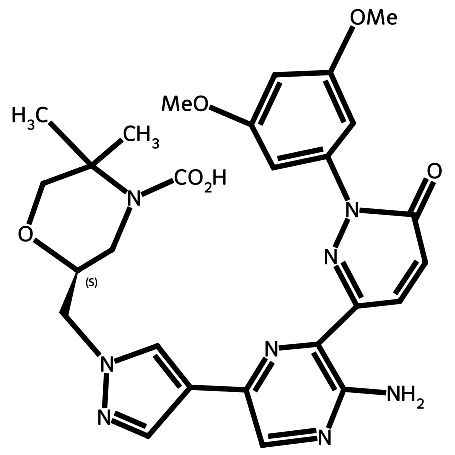 COc1cc(OC)cc(-n2nc(-c3nc(-c4cnn(C[C@@H]5CN(C(=O)O)C(C)(C)CO5)c4)cnc3N)ccc2=O)c1